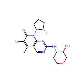 CC(=O)c1c(C)c2cnc(N[C@H]3CCOC[C@@H]3O)nc2n([C@@H]2CCC[C@@H]2C)c1=O